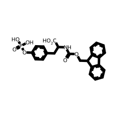 O=C(NC(Cc1ccc(OP(=O)(O)O)cc1)C(=O)O)OCC1c2ccccc2-c2ccccc21